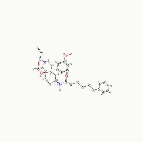 C=CCN1CC[C@@]2(c3cccc(OC)c3)C[C@@H](N(C)C(=O)CCCCCc3ccccc3)CC[C@]2(OC(C)=O)C1